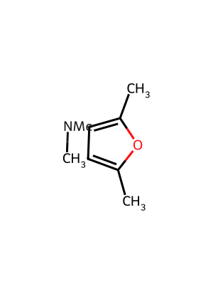 CNC.Cc1ccc(C)o1